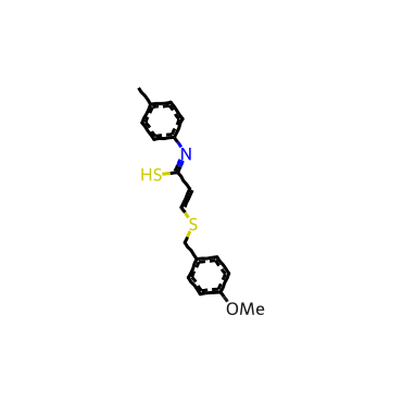 COc1ccc(CSC=CC(S)=Nc2ccc(C)cc2)cc1